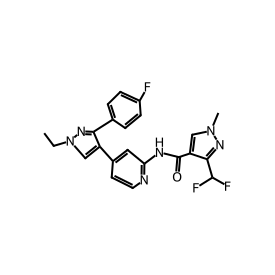 CCn1cc(-c2ccnc(NC(=O)c3cn(C)nc3C(F)F)c2)c(-c2ccc(F)cc2)n1